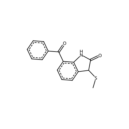 CSC1C(=O)Nc2c(C(=O)c3ccccc3)cccc21